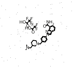 CN(C)CC1CCCN(Cc2ccc(-n3cc4cccc(C(N)=O)c4n3)cc2)C1.O=C(O)C(F)(F)F.O=C(O)C(F)(F)F